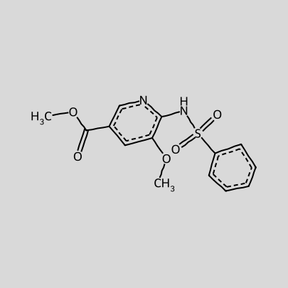 COC(=O)c1cnc(NS(=O)(=O)c2ccccc2)c(OC)c1